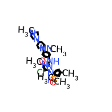 CNc1cc(Nc2ncc(Cl)c(Nc3ccc(C)cc3P(C)(C)=O)n2)c(OC)cc1N1CCC(N2CCN(C)CC2)CC1